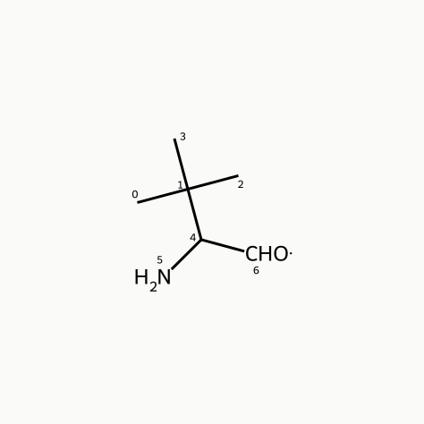 CC(C)(C)C(N)[C]=O